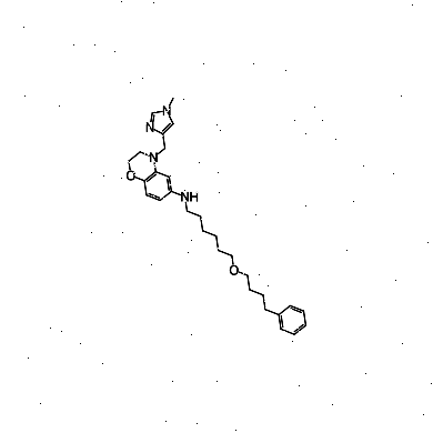 Cn1cnc(CN2CCOc3ccc(NCCCCCCOCCCCc4ccccc4)cc32)c1